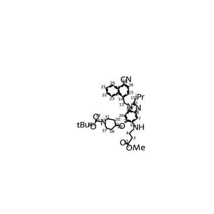 COC(=O)CCNc1cc2nc(C(C)C)n(Cc3ccc(C#N)c4ccccc34)c2cc1OC1CCN(C(=O)OC(C)(C)C)CC1